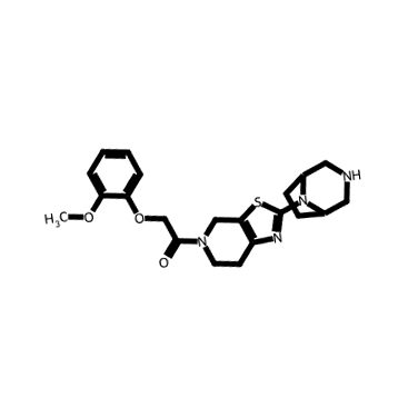 COc1ccccc1OCC(=O)N1CCc2nc(N3C4CCC3CNC4)sc2C1